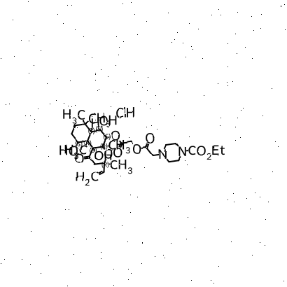 C=C[C@@]1(C)CC(=O)[C@]2(O)[C@@]3(C)[C@@H](O)CCC(C)(C)[C@@H]3[C@H](O)[C@H](OC(=O)COC(=O)CN3CCN(C(=O)OCC)CC3)[C@@]2(C)O1.Cl